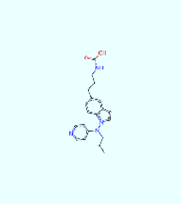 CCCN(c1ccncc1)n1ccc2cc(CCCNC(=O)O)ccc21